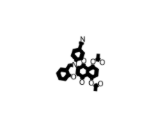 CC(=O)Oc1ccc(OC(C)=O)c2c1C(=O)C1=C(C2=O)N(c2ccc(C#N)cc2)Cc2ccccc2O1